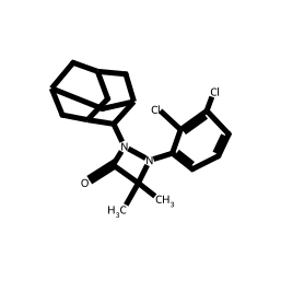 CC1(C)C(=O)N(C2C3CC4CC(C3)CC2C4)N1c1cccc(Cl)c1Cl